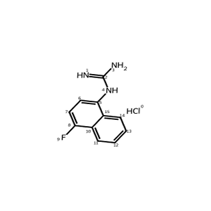 Cl.N=C(N)Nc1ccc(F)c2ccccc12